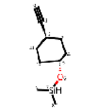 C#C[C@H]1CC[C@H](O[SiH](C)C)CC1